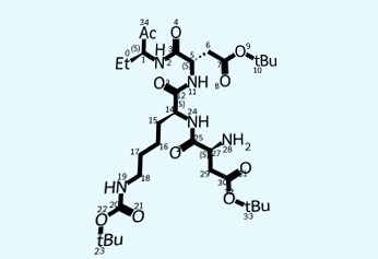 CC[C@H](NC(=O)[C@H](CC(=O)OC(C)(C)C)NC(=O)[C@H](CCCCNC(=O)OC(C)(C)C)NC(=O)[C@@H](N)CC(=O)OC(C)(C)C)C(C)=O